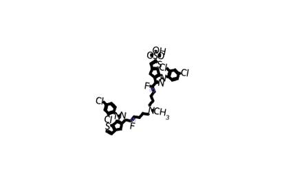 CN(CCC/C=C(\F)c1nn(-c2ccc(Cl)cc2Cl)c2c1Cc1ccsc1-2)CCC/C=C(\F)c1nn(-c2ccc(Cl)cc2Cl)c2c1Cc1cc(S(=O)(=O)O)sc1-2